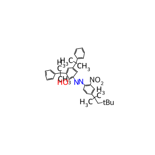 CC(C)(C)CC(C)(C)c1ccc(/N=N/c2cc(C(C)(C)c3ccccc3)cc(C(C)(C)c3ccccc3)c2O)c([N+](=O)[O-])c1